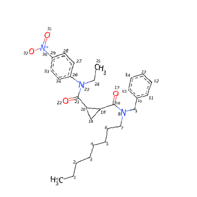 CCCCCCCCN(Cc1ccccc1)C(=O)C1CC1C(=O)N(CC)c1ccc([N+](=O)[O-])cc1